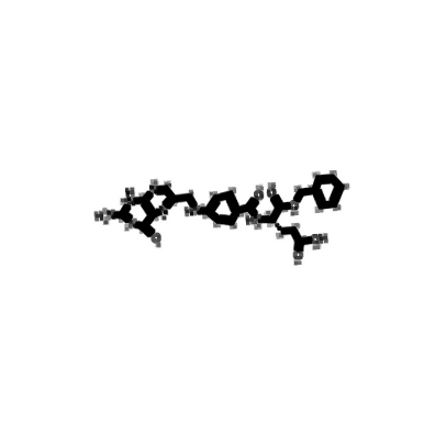 Nc1nc(=O)c2nc(CNc3ccc(C(=O)N[C@@H](CCC(=O)O)C(=O)OCc4ccccc4)cc3)cnc2[nH]1